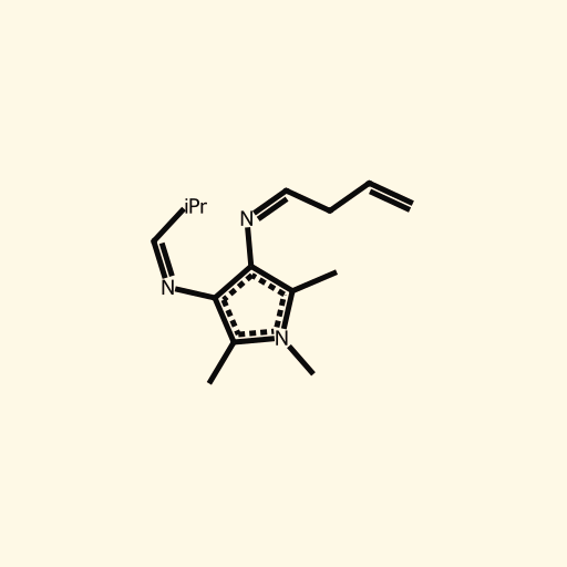 C=CC/C=N\c1c(/N=C\C(C)C)c(C)n(C)c1C